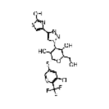 OCC1O[C@H](Sc2cnc(C(F)(F)F)c(Cl)c2)C(O)C(n2cc(-c3csc(O)n3)nn2)[C@H]1O